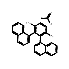 CC(=O)O.Oc1ccc(O)c(-c2cccc3ccccc23)c1-c1cccc2ccccc12